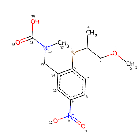 COCC(C)Sc1ccc([N+](=O)[O-])cc1CN(C)C(=O)O